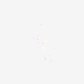 C=CC[C@H](C)C[S@](N)(=O)=NC(=O)O[C@@H](C)c1ccccc1